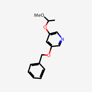 COC(C)Oc1cncc(OCc2ccccc2)c1